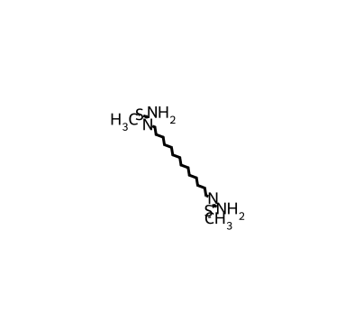 CSC(N)=NCCCCCCCCCCCCCCN=C(N)SC